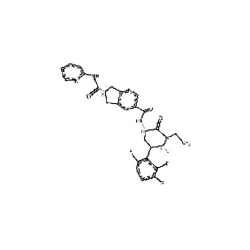 C[C@@H]1C(c2c(F)ccc(F)c2F)C[C@H](NC(=O)c2cnc3c(c2)C[C@H](C(=O)Nc2ccccn2)C3)C(=O)N1CC(F)(F)F